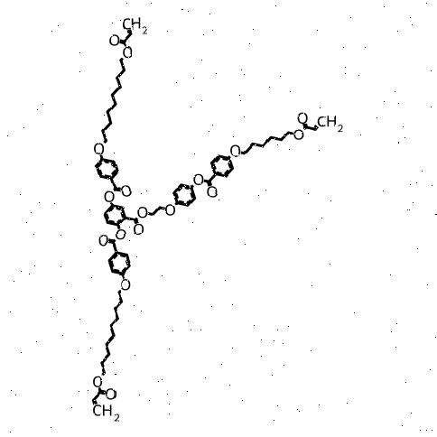 C=CC(=O)OCCCCCCCCCCOc1ccc(C(=O)Oc2ccc(OC(=O)c3ccc(OCCCCCCCCCCOC(=O)C=C)cc3)c(C(=O)OCCOc3ccc(OC(=O)c4ccc(OCCCCCCOC(=O)C=C)cc4)cc3)c2)cc1